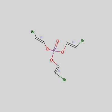 O=P(O/C=C/Br)(O/C=C/Br)O/C=C/Br